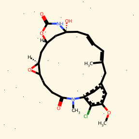 COc1cc2cc(c1Cl)N(C)C(=O)CCC1O[C@H]1C[C@@H]1C[C@](O)(C/C=C/C=C(\C)C2)NC(=O)O1